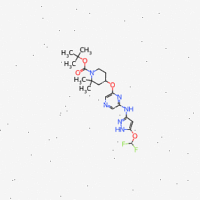 CC(C)(C)OC(=O)N1CCC(Oc2cncc(Nc3cc(OC(F)F)[nH]n3)n2)CC1(C)C